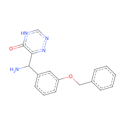 NC(c1cccc(OCc2ccccc2)c1)c1nnc[nH]c1=O